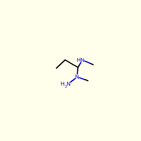 CCC(NC)N(C)N